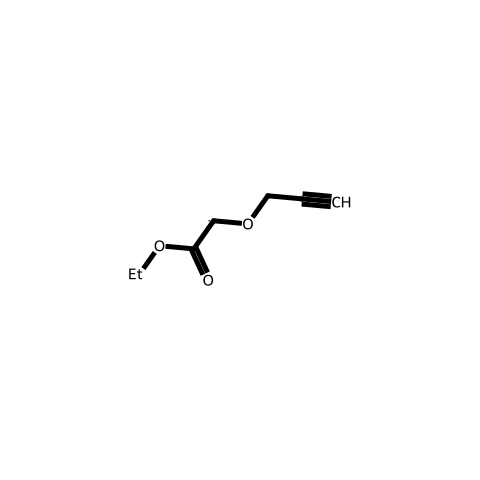 C#CCO[CH]C(=O)OCC